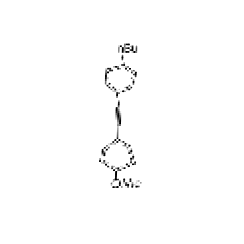 CCCCc1ccc(C#Cc2ccc(OC)cc2)cc1